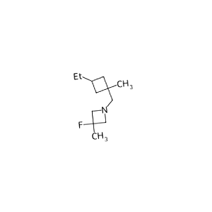 CCC1CC(C)(CN2CC(C)(F)C2)C1